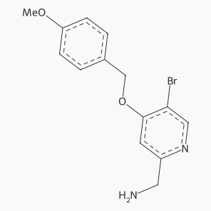 COc1ccc(COc2cc(CN)ncc2Br)cc1